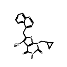 Cn1c(=O)c2c(C(=O)[O-])c(Cc3ccnc4ccccc34)sc2n(CC2CC2)c1=O.[Na+]